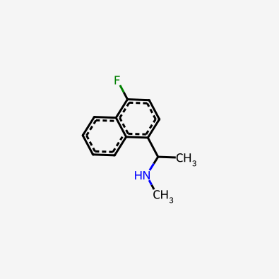 CNC(C)c1ccc(F)c2ccccc12